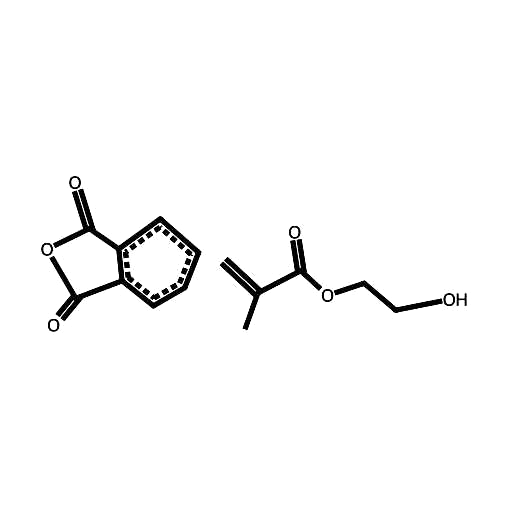 C=C(C)C(=O)OCCO.O=C1OC(=O)c2ccccc21